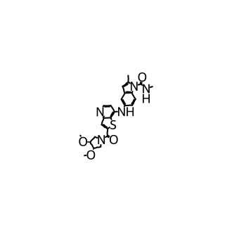 CNC(=O)n1c(C)cc2cc(Nc3ccnc4cc(C(=O)N5C[C@H](OC)[C@@H](OC)C5)sc34)ccc21